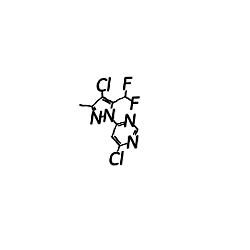 Cc1nn(-c2cc(Cl)ncn2)c(C(F)F)c1Cl